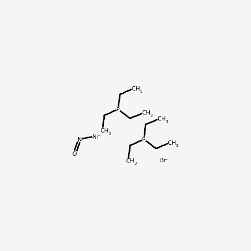 CCP(CC)CC.CCP(CC)CC.O=[N][Ni+].[Br-]